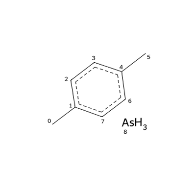 Cc1ccc(C)cc1.[AsH3]